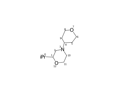 CC(C)C1CN(C2CCOCC2)CCO1